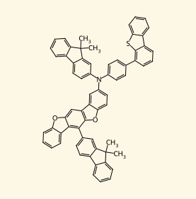 CC1(C)c2ccccc2-c2ccc(-c3c4oc5ccc(N(c6ccc(-c7cccc8c7sc7ccccc78)cc6)c6ccc7c(c6)C(C)(C)c6ccccc6-7)cc5c4cc4oc5ccccc5c34)cc21